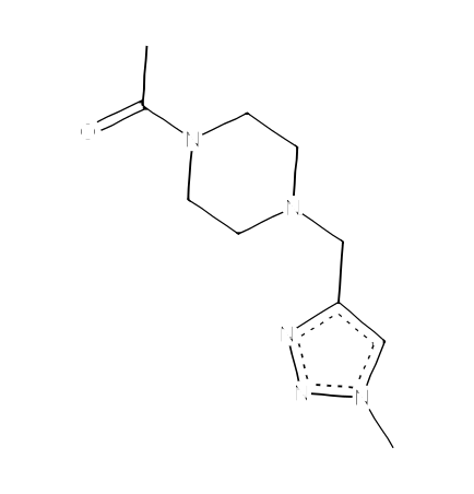 CC(=O)N1CCN(Cc2cn(C)nn2)CC1